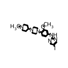 COc1cc(Nc2ncc(I)cn2)ccc1N1CCN(C2CCN(C)CC2)CC1